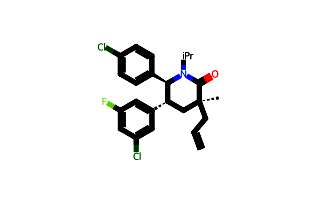 C=CC[C@@]1(C)C[C@H](c2cc(F)cc(Cl)c2)[C@@H](c2ccc(Cl)cc2)N(C(C)C)C1=O